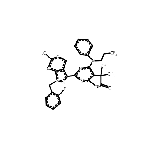 Cc1ncc2c(-c3nc4c(c(N(CCC(F)(F)F)c5ccccc5)n3)C(C)(C)C(=O)N4)nn(Cc3ccccc3F)c2n1